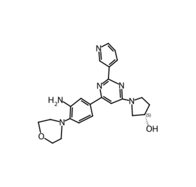 Nc1cc(-c2cc(N3CC[C@H](O)C3)nc(-c3cccnc3)n2)ccc1N1CCOCC1